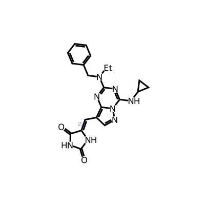 CCN(Cc1ccccc1)c1nc(NC2CC2)n2ncc(/C=C3\NC(=O)NC3=O)c2n1